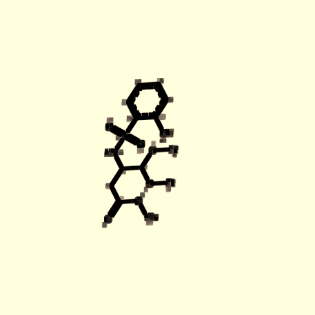 CCOC(OCC)C(CC(=O)OC(C)(C)C)NS(=O)(=O)c1ccccc1O